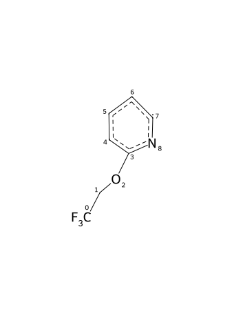 FC(F)(F)COc1ccc[c]n1